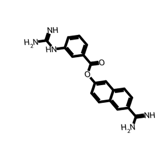 N=C(N)Nc1cccc(C(=O)Oc2ccc3cc(C(=N)N)ccc3c2)c1